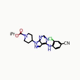 CC(C)OC(=O)N1CCC(n2ncc3c(Nc4ccc(C#N)cc4Cl)ncnc32)CC1